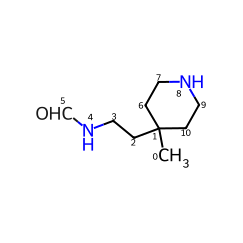 CC1(CCNC=O)CCNCC1